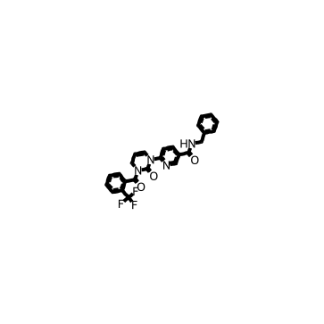 O=C(NCc1ccccc1)c1ccc(N2C=CCN(C(=O)c3ccccc3C(F)(F)F)C2=O)nc1